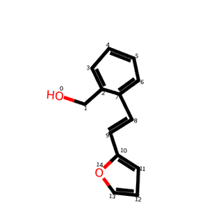 OCc1ccccc1C=Cc1ccco1